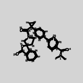 CN(C)C(=O)c1ccc(-c2ccc(C3(C(=O)N4CCC5(C4)OC(=O)c4ccccc45)CC3)cc2)nc1